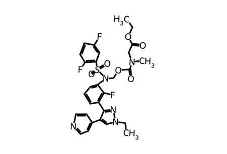 CCOC(=O)CN(C)C(=O)OCN(c1cccc(-c2nn(CC)cc2-c2ccncc2)c1F)S(=O)(=O)c1cc(F)ccc1F